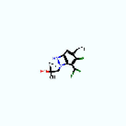 Cc1cc2[nH]n(CC(C)(C)O)c2c(C(F)F)c1F